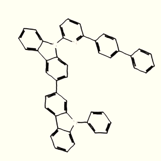 c1ccc(-c2ccc(-c3cccc(-n4c5ccccc5c5cc(-c6ccc7c8ccccc8n(-c8ccccc8)c7c6)ccc54)n3)cc2)cc1